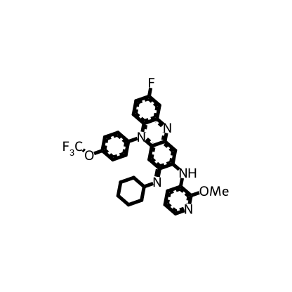 COc1ncccc1Nc1cc2nc3cc(F)ccc3n(-c3ccc(OC(F)(F)F)cc3)c-2cc1=NC1CCCCC1